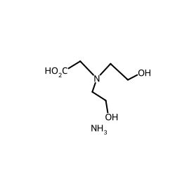 N.O=C(O)CN(CCO)CCO